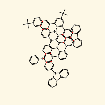 CC(C)(C)c1cccc(-c2ccc3c(c2)N(c2c(-c4ccccc4)cc(C(C)(C)C)cc2-c2ccccc2)c2cc(-n4c5ccccc5c5ccccc54)cc4c2B3c2ccc(N(c3ccccc3)c3ccc(-n5c6ccccc6c6ccccc65)cc3)cc2N4c2c(-c3ccccc3)cccc2-c2ccccc2)c1